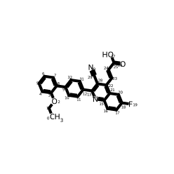 CCOc1ccccc1-c1ccc(-c2nc3ccc(F)cc3c(/C=C/C(=O)O)c2C#N)cc1